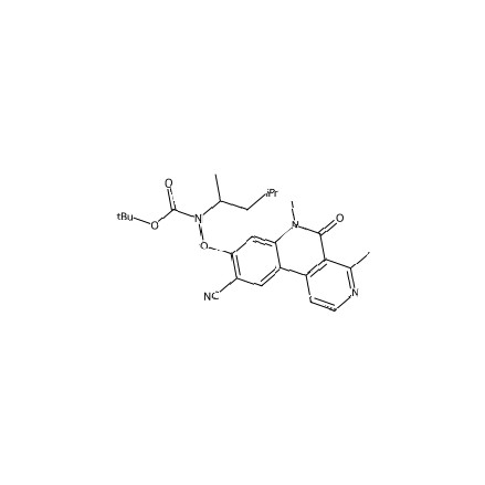 Cc1nccc2c1c(=O)n(C)c1cc(ON(C(=O)OC(C)(C)C)C(C)CC(C)C)c(C#N)cc21